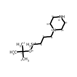 CC(C)(C)O[SiH2]CCCN1CCNCC1